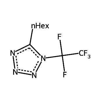 CCCCCCc1nnnn1C(F)(F)C(F)(F)F